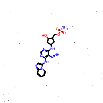 N=Nc1c(Nc2cnc3ccccn23)ncnc1NC1CC(O)C(COS(N)(=O)=O)C1